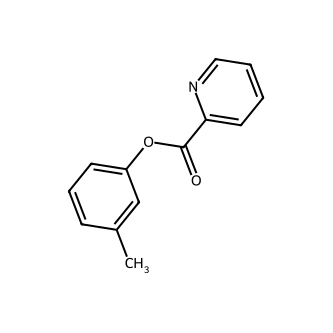 Cc1cccc(OC(=O)c2ccccn2)c1